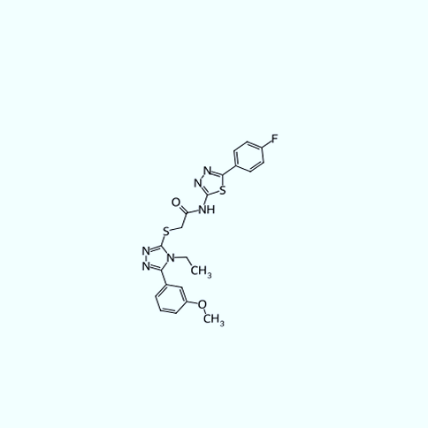 CCn1c(SCC(=O)Nc2nnc(-c3ccc(F)cc3)s2)nnc1-c1cccc(OC)c1